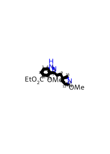 CCOC(=O)c1ccc2[nH]nc(C=Cc3ccc(OC)nc3)c2c1OC